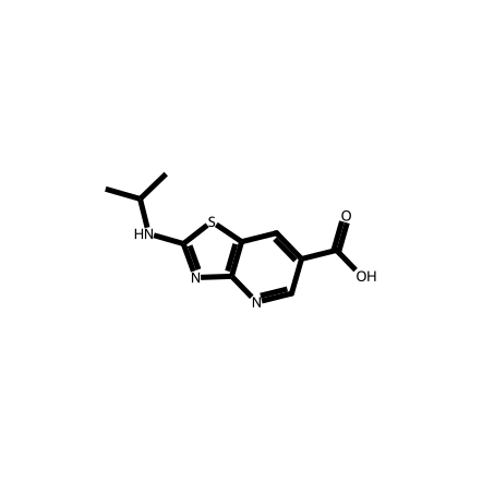 CC(C)Nc1nc2ncc(C(=O)O)cc2s1